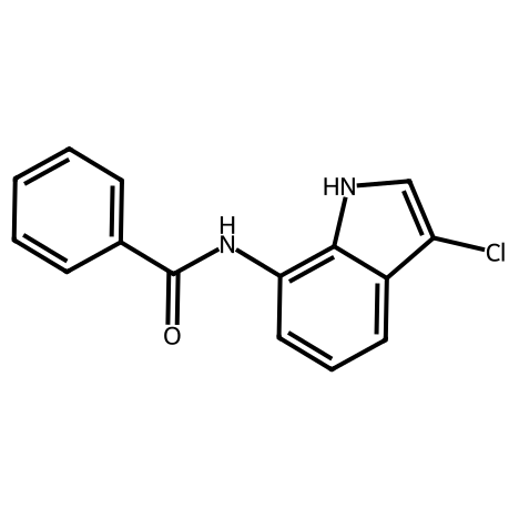 O=C(Nc1cccc2c(Cl)c[nH]c12)c1ccccc1